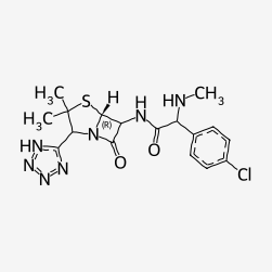 CNC(C(=O)NC1C(=O)N2C(c3nnn[nH]3)C(C)(C)S[C@H]12)c1ccc(Cl)cc1